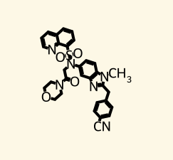 Cn1c(Cc2ccc(C#N)cc2)nc2cc(N(CC(=O)N3CCOCC3)S(=O)(=O)c3cccc4cccnc34)ccc21